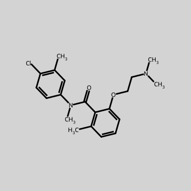 Cc1cc(N(C)C(=O)c2c(C)cccc2OCCN(C)C)ccc1Cl